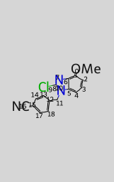 COc1cccc2c1nc(Cl)n2Cc1ccc(C#N)cc1